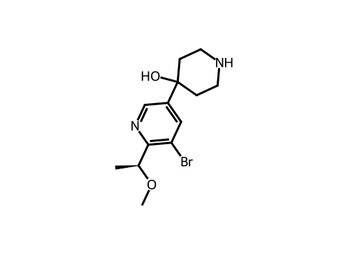 CO[C@@H](C)c1ncc(C2(O)CCNCC2)cc1Br